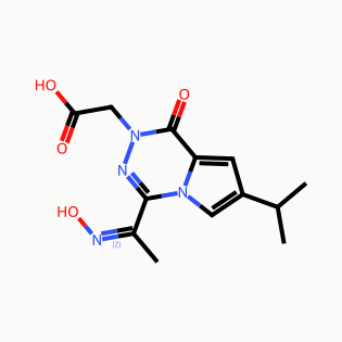 C/C(=N/O)c1nn(CC(=O)O)c(=O)c2cc(C(C)C)cn12